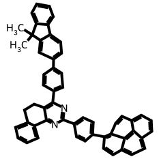 CC1(C)c2ccccc2-c2ccc(-c3ccc(-c4nc(-c5ccc(-c6ccc7ccc8cccc9ccc6c7c89)cc5)nc5c4CCc4ccccc4-5)cc3)cc21